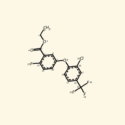 CCOC(=O)c1cc(Oc2ccc(C(F)(F)F)cc2Cl)ccc1F